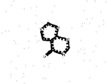 O=c1ncoc2ncncc12